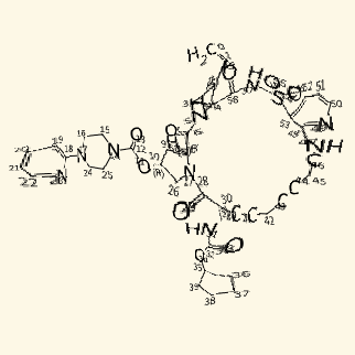 C=C[C@@H]1C[C@@]12NC(=O)[C@@H]1C[C@@H](OC(=O)N3CCN(c4ccccn4)CC3)CN1C(=O)[C@@H](NC(=O)OC1CCCC1)CCCCCCCNc1ncccc1S(=O)(=O)NC2=O